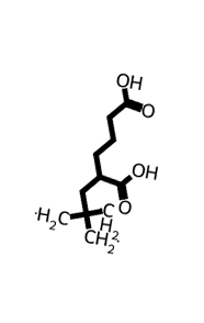 [CH2]C([CH2])([CH2])CC(CCCC(=O)O)C(=O)O